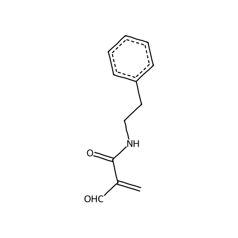 C=C(C=O)C(=O)NCCc1ccccc1